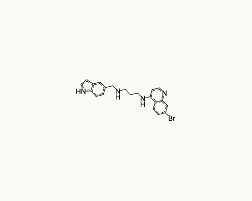 Brc1ccc2c(NCCCNCc3ccc4[nH]ccc4c3)ccnc2c1